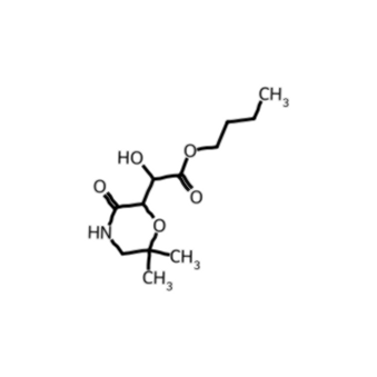 CCCCOC(=O)C(O)C1OC(C)(C)CNC1=O